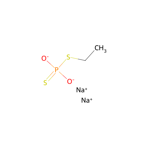 CCSP([O-])([O-])=S.[Na+].[Na+]